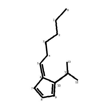 CCCCCC=C1C=CC=C1C(C)C